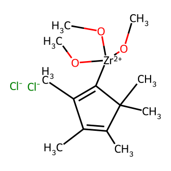 C[O][Zr+2]([O]C)([O]C)[C]1=C(C)C(C)=C(C)C1(C)C.[Cl-].[Cl-]